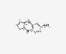 O=[N+]([O-])c1ccc(N=C2CC=CS2)c(O)c1